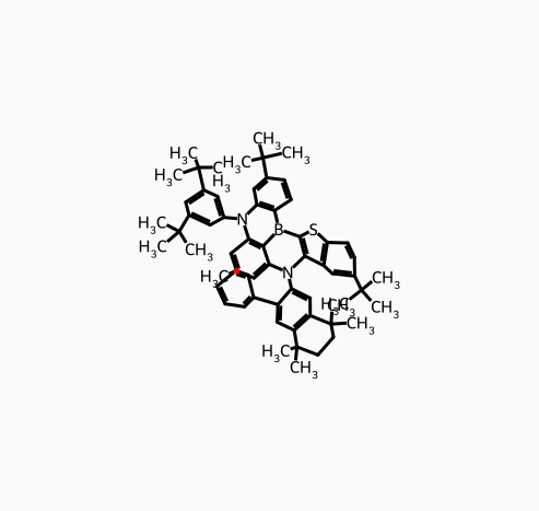 Cc1cc2c3c(c1)N(c1cc4c(cc1-c1ccccc1)C(C)(C)CCC4(C)C)c1c(sc4ccc(C(C)(C)C)cc14)B3c1ccc(C(C)(C)C)cc1N2c1cc(C(C)(C)C)cc(C(C)(C)C)c1